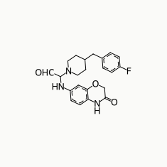 O=CC(Nc1ccc2c(c1)OCC(=O)N2)N1CCC(Cc2ccc(F)cc2)CC1